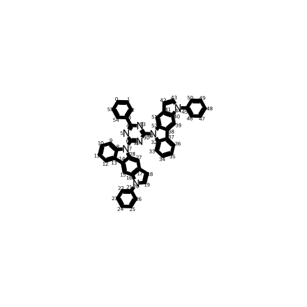 c1ccc(-c2nc(-n3c4ccccc4c4cc5c(ccn5-c5ccccc5)cc43)nc(-n3c4ccccc4c4cc5c(ccn5-c5ccccc5)cc43)n2)cc1